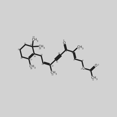 CC(=O)OCC=C(C)C(=O)C#CC(C)=CCC1=C(C)CCCC1(C)C